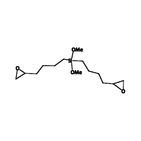 CO[Si](CCCCC1CO1)(CCCCC1CO1)OC